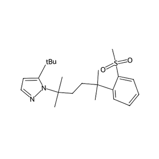 CC(C)(C)c1ccnn1C(C)(C)CCC(C)(C)c1ccccc1S(C)(=O)=O